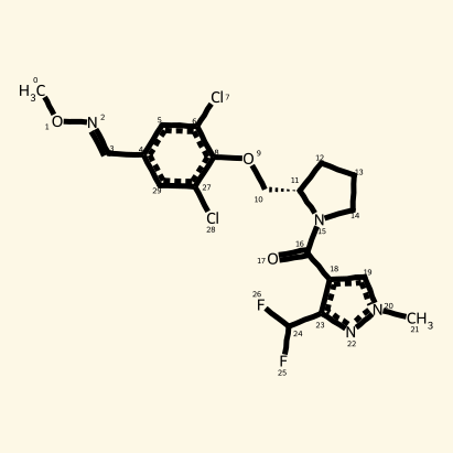 CON=Cc1cc(Cl)c(OC[C@@H]2CCCN2C(=O)c2cn(C)nc2C(F)F)c(Cl)c1